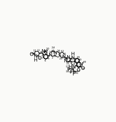 C[C@H]1CN(c2cccc3c(C4CCC(=O)NC4=O)nn(C)c23)C[C@H](C)N1CC1CCN(c2ncc(Cl)c(Nc3ccc4c(c3)c3c(c(=O)n4C)OCC(F)(F)[C@H](C4CC4)N3)n2)CC1